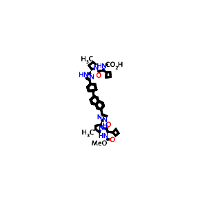 COC(=O)NC(C(=O)N1C[C@@H](C)C[C@H]1c1nc(-c2ccc3cc(-c4ccc(-c5c[nH]c([C@@H]6C[C@H](C)CN6C(=O)C(NC(=O)O)C6CCC6)n5)cc4)ccc3c2)c[nH]1)C1CCC1